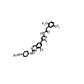 CCc1cc(-c2cc(NC(=O)Cc3cc(C(F)(F)F)ccc3C(F)(F)F)nn2C)cc2cnc(N[C@H]3CC[C@H](NC(C)=O)CC3)nc12